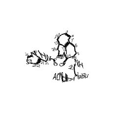 CC[C@H](C)[C@@H](CN[C@H]1CCc2cccc3c2N(C1=O)[C@H](C(=O)NCc1cscn1)C3)NC(C)=O